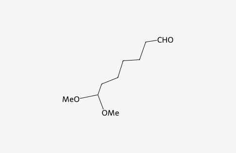 COC(CCCCCC=O)OC